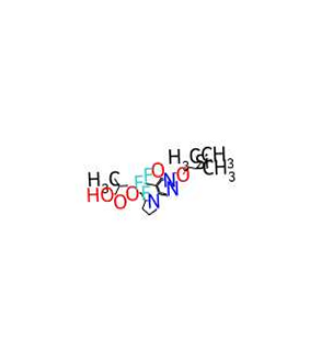 CC(COC[C@@H]1CCCN1c1cnn(COCC[Si](C)(C)C)c(=O)c1C(F)(F)F)C(=O)O